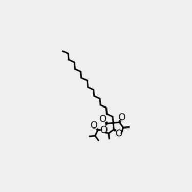 CCCCCCCCCCCCCCCCC(C(=O)OC(=O)C(C)C)(C(=O)C(C)C)C(=O)C(C)C